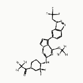 [2H]C([2H])([2H])Oc1nc(N[C@@H]2CCN(C(=O)C([2H])([2H])[2H])CC2(F)F)nn2ccc(-c3ccc4nnn(CC(F)(F)F)c4c3)c12